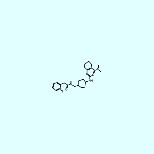 CN(C)c1nc(NC2CCC(CNC(=O)Cc3ccccc3I)CC2)nc2c1CCCC2